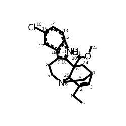 CCC1=CC2CN3CCc4c([nH]c5ccc(Cl)cc45)C(C(=O)OC)(C2)C13